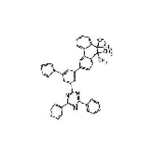 CC1(C)c2ccccc2-c2cc(-c3cc(-c4ccccc4)cc(-c4nc(-c5ccccc5)nc(-c5ccccc5)n4)c3)ccc2C1(C)C